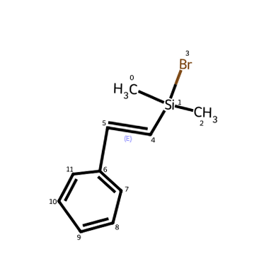 C[Si](C)(Br)/C=C/c1ccccc1